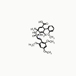 COc1cc(OC)c(/C=C/S(=O)(=O)NC2(N)C=C(N)C(c3ccccc3OC)C(C(=O)O)=C2)c(OC)c1